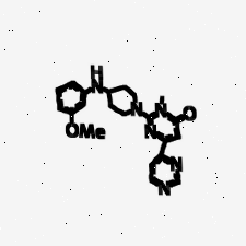 COc1cccc(NC2CCN(c3nc(-c4ccncn4)cc(=O)n3C)CC2)c1